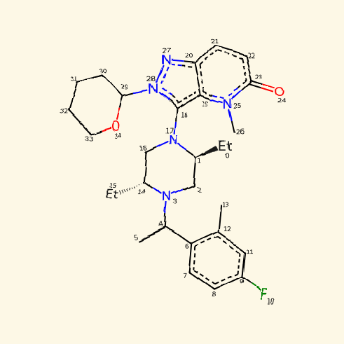 CC[C@H]1CN(C(C)c2ccc(F)cc2C)[C@H](CC)CN1c1c2c(ccc(=O)n2C)nn1C1CCCCO1